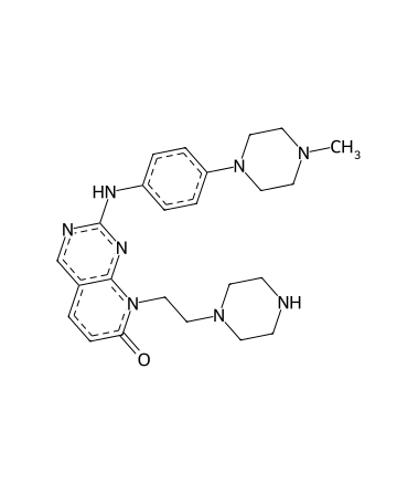 CN1CCN(c2ccc(Nc3ncc4ccc(=O)n(CCN5CCNCC5)c4n3)cc2)CC1